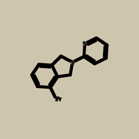 CC(C)c1cccc2c1CN(c1ccccn1)C2